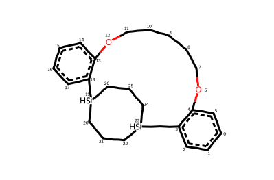 c1ccc2c(c1)OCCCCCOc1ccccc1[SiH]1CCC[SiH]2CCC1